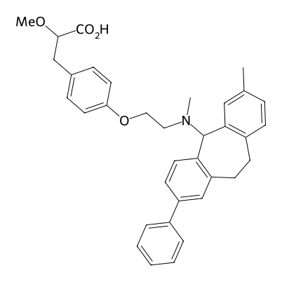 COC(Cc1ccc(OCCN(C)C2c3ccc(-c4ccccc4)cc3CCc3ccc(C)cc32)cc1)C(=O)O